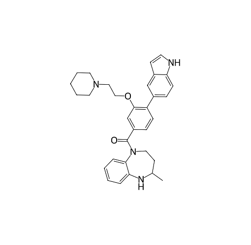 CC1CCN(C(=O)c2ccc(-c3ccc4[nH]ccc4c3)c(OCCN3CCCCC3)c2)c2ccccc2N1